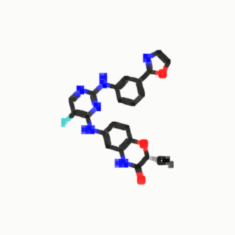 C[C@H]1Oc2ccc(Nc3nc(Nc4cccc(-c5ncco5)c4)ncc3F)cc2NC1=O